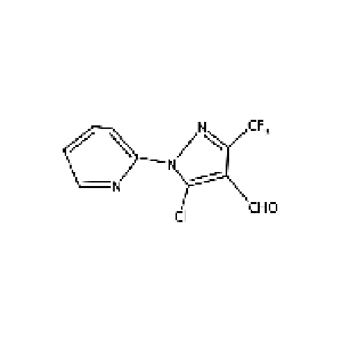 O=Cc1c(C(F)(F)F)nn(-c2ccccn2)c1Cl